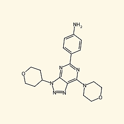 Nc1ccc(-c2nc(N3CCOCC3)c3nnn(C4CCOCC4)c3n2)cc1